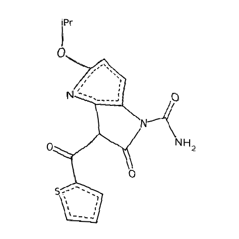 CC(C)Oc1ccc2c(n1)C(C(=O)c1cccs1)C(=O)N2C(N)=O